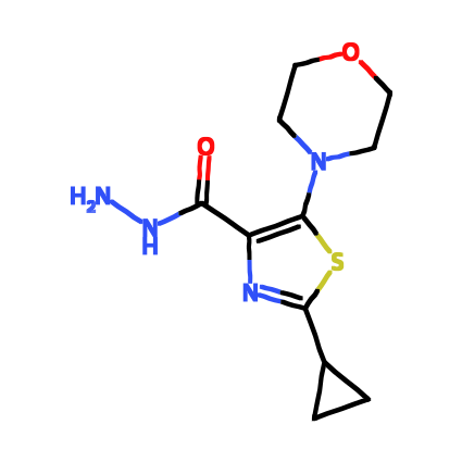 NNC(=O)c1nc(C2CC2)sc1N1CCOCC1